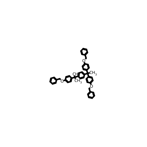 CC(C)(c1ccc(OCc2ccccc2)cc1)c1ccc(C(C)(c2ccc(OCc3ccccc3)cc2)c2ccc(OCc3ccccc3)cc2)cc1